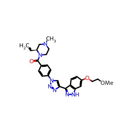 C=C[C@H]1CN(C)CCN1C(=O)c1ccc(-n2cc(-c3n[nH]c4cc(OCCOC)ccc34)nn2)cc1